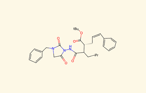 CC(C)CC(C(=O)NN1C(=O)CN(Cc2ccccc2)C1=O)[C@@H](C/C=C\c1ccccc1)C(=O)OC(C)(C)C